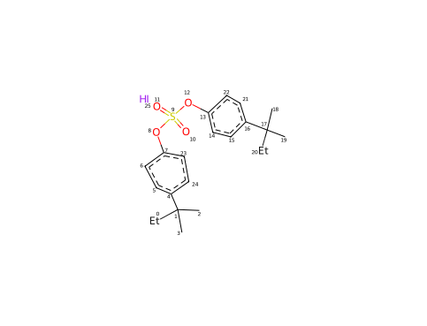 CCC(C)(C)c1ccc(OS(=O)(=O)Oc2ccc(C(C)(C)CC)cc2)cc1.I